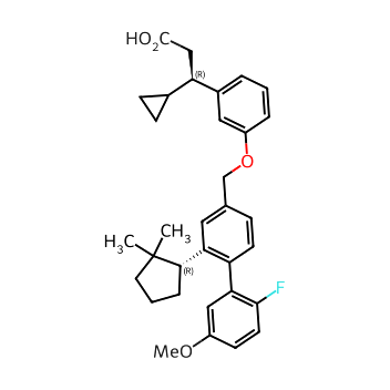 COc1ccc(F)c(-c2ccc(COc3cccc([C@H](CC(=O)O)C4CC4)c3)cc2[C@@H]2CCCC2(C)C)c1